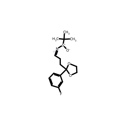 CC(C)(C)[S+]([O-])/N=C\CCC1(c2cccc(F)c2)OCCO1